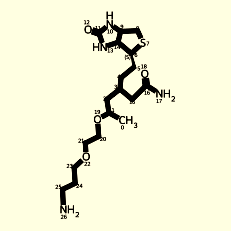 CC(CC(CC[C@@H]1SCC2NC(=O)NC21)CC(N)=O)OCCOCCCN